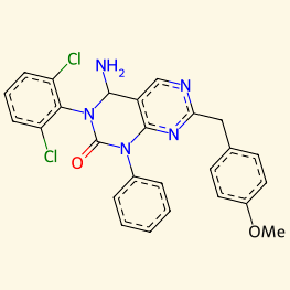 COc1ccc(Cc2ncc3c(n2)N(c2ccccc2)C(=O)N(c2c(Cl)cccc2Cl)C3N)cc1